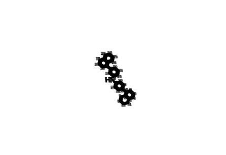 C1=Cc2c(cccc2-c2ccc(Nc3cccc(-c4cccc5ccccc45)c3)cc2)CC1